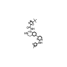 Cn1cc(Nc2nccc(-c3ccc4c(c3)CCNC[C@@H]4NC(=O)c3nnc(C(C)(C)C)o3)n2)cn1